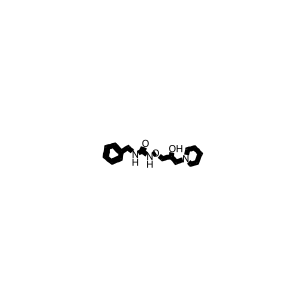 O=C(NCc1ccccc1)NOCC(O)CN1CCCCC1